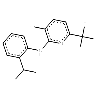 CC(C)c1ccccc1Nc1nc(C(F)(F)F)ccc1Br